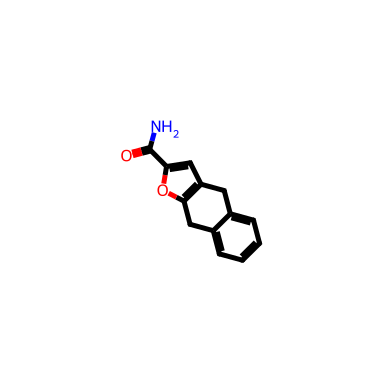 NC(=O)c1cc2c(o1)Cc1ccccc1C2